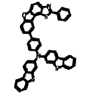 c1ccc(-c2nc3ccc4oc5ccc(-c6ccc(N(c7ccc8c(c7)sc7ccccc78)c7ccc8c(c7)sc7ccccc78)cc6)cc5c4c3s2)cc1